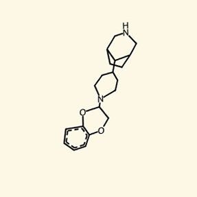 c1ccc2c(c1)OCC(N1CCC(C3C4CCC3CNC4)CC1)O2